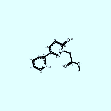 COC(=O)Cn1nc(-c2ccccn2)ccc1=O